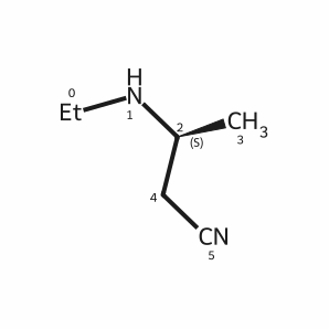 CCN[C@@H](C)CC#N